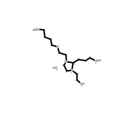 CCCCCCCCCCCCCCOCCN1CCN(CCO)C1CCCCCCCCCCCCC.Cl